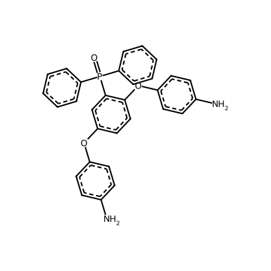 Nc1ccc(Oc2ccc(Oc3ccc(N)cc3)c(P(=O)(c3ccccc3)c3ccccc3)c2)cc1